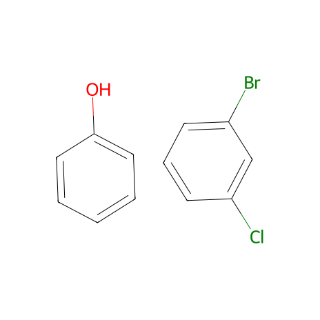 Clc1cccc(Br)c1.Oc1ccccc1